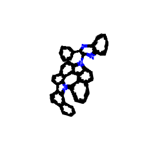 c1ccc(-c2nc3ccccc3nc2-n2c3ccc4cccc5c4c3c3c4c(ccc6c7ccc8ccccc8c7n5c64)ccc32)cc1